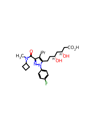 CC(C)c1c(C(=O)N(C)C2CCC2)nn(-c2ccc(F)cc2)c1CC[C@@H](O)C[C@@H](O)CC(=O)O